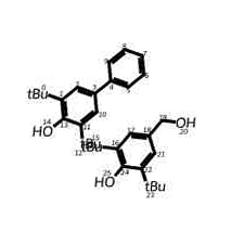 CC(C)(C)c1cc(-c2ccccc2)cc(C(C)(C)C)c1O.CC(C)(C)c1cc(CO)cc(C(C)(C)C)c1O